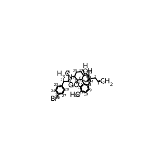 C=CCN1CC[C@]23c4c5ccc(O)c4OC2C(N(C)C(=O)Cc2ccc(Br)cc2)CC[C@@]3(O)[C@H]1C5